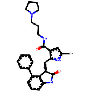 Cc1cc(C(=O)NCCCN2CCCC2)c(/C=C2\C(=O)Nc3cccc(-c4ccccc4)c32)[nH]1